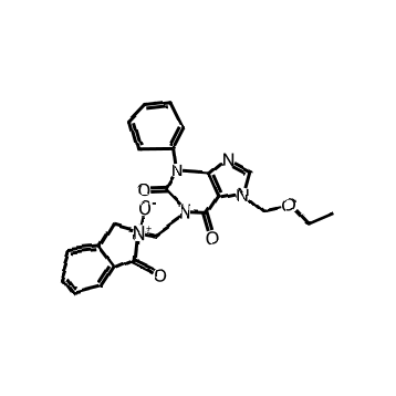 CCOCn1cnc2c1c(=O)n(C[N+]1([O-])Cc3ccccc3C1=O)c(=O)n2-c1ccccc1